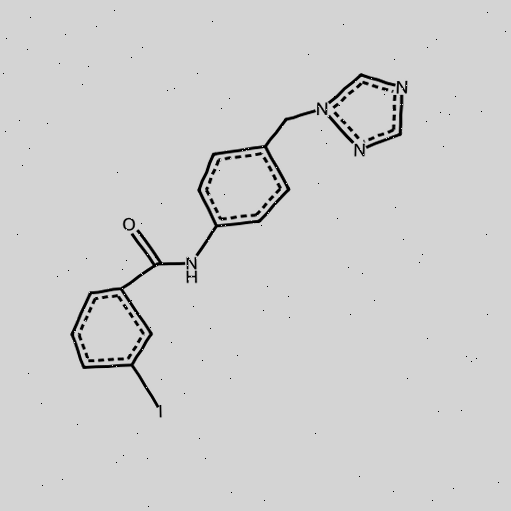 O=C(Nc1ccc(Cn2cncn2)cc1)c1cccc(I)c1